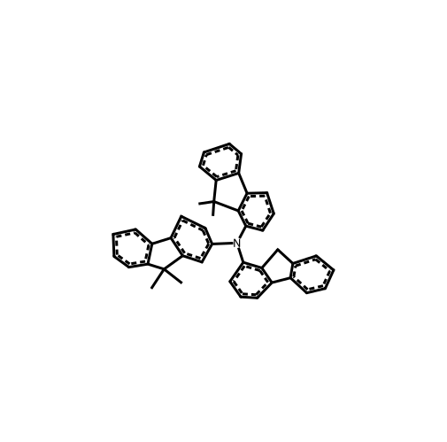 CC1(C)c2ccccc2-c2ccc(N(c3cccc4c3Cc3ccccc3-4)c3cccc4c3C(C)(C)c3ccccc3-4)cc21